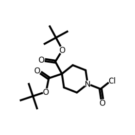 CC(C)(C)OC(=O)C1(C(=O)OC(C)(C)C)CCN(C(=O)Cl)CC1